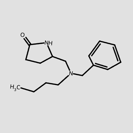 CCCCN(Cc1ccccc1)CC1CCC(=O)N1